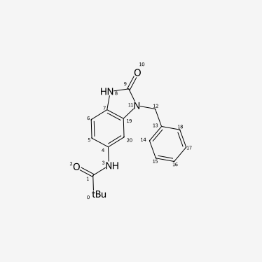 CC(C)(C)C(=O)Nc1ccc2[nH]c(=O)n(Cc3ccccc3)c2c1